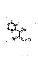 O=CC(Br)C(Br)c1ccccc1